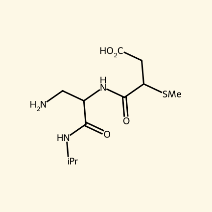 CSC(CC(=O)O)C(=O)NC(CN)C(=O)NC(C)C